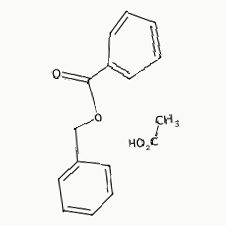 CC(=O)O.O=C(OCc1ccccc1)c1ccccc1